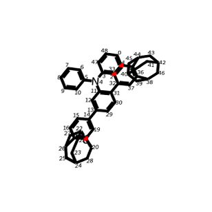 c1ccc(N(c2ccccc2)c2cc(-c3ccc4c(c3)C3CC5CC(CC4C5)C3)ccc2-c2ccc3c(c2)C2CC4CC(CC3C4)C2)cc1